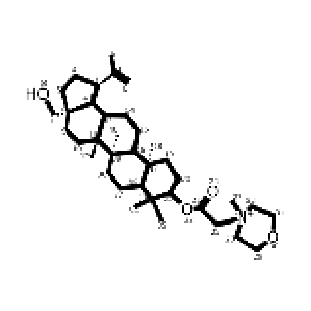 C=C(C)[C@@H]1CC[C@]2(CO)CC[C@]3(C)C(CCC4[C@@]5(C)CCC(OC(=O)C[N+]6(C)CCOCC6)C(C)(C)C5CC[C@]43C)C12